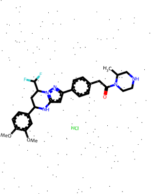 COc1ccc(C2CC(C(F)F)n3nc(-c4ccc(CC(=O)N5CCNCC5C)cc4)cc3N2)cc1OC.Cl